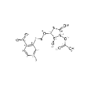 Cc1ccc([N+](=O)[O-])c(CCOC2CC(=O)N(OC(=O)O)C2=O)c1